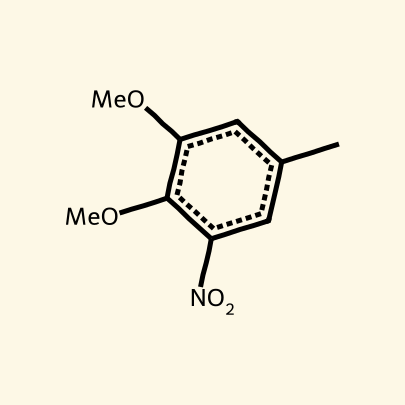 COc1cc(C)cc([N+](=O)[O-])c1OC